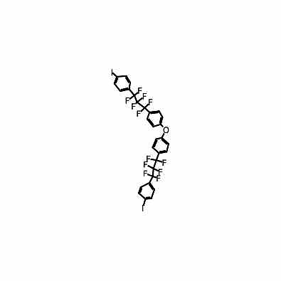 FC(F)(c1ccc(I)cc1)C(F)(F)C(F)(F)c1ccc(Oc2ccc(C(F)(F)C(F)(F)C(F)(F)c3ccc(I)cc3)cc2)cc1